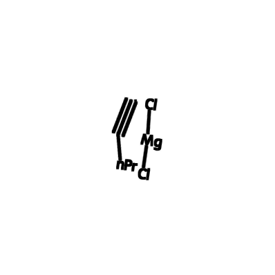 [C]#CCCC.[Cl][Mg][Cl]